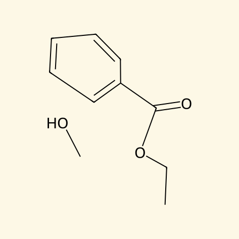 CCOC(=O)c1ccccc1.CO